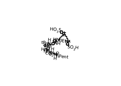 CCCCCC(=O)NCCNC(=O)CNC(=O)[C@H](CC(=O)O)NC(=O)[C@@H]1CCCN1C(=O)[C@@H](NC(=O)c1ccc(NC(=O)CNC(=O)CCCCN2\C(=C/C=C/C=C/C3=[N+](CC)c4ccc(S(=O)(=O)O)cc4C3(C)C)C(C)(C)c3cc(S(=O)(=O)O)ccc32)c(Cl)c1)C(C)(C)C